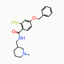 CN1CCCC(CNC(=O)c2ccc(OCc3ccccc3)cc2S)C1